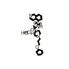 CC(O)(NS(=O)(=O)c1cccc2cnccc12)N1CCN(CCCOc2ccccc2)CC1.Cl.Cl